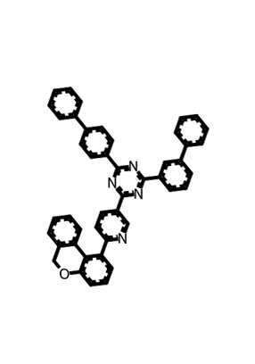 c1ccc(-c2ccc(-c3nc(-c4ccc(-c5cccc6c5-c5ccccc5CO6)nc4)nc(-c4cccc(-c5ccccc5)c4)n3)cc2)cc1